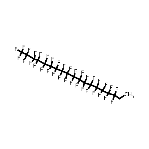 C[CH]C(F)(F)C(F)(F)C(F)(F)C(F)(F)C(F)(F)C(F)(F)C(F)(F)C(F)(F)C(F)(F)C(F)(F)C(F)(F)C(F)(F)C(F)(F)C(F)(F)C(F)(F)C(F)(F)C(F)(F)F